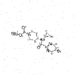 CC(C)(C)OC(=O)N1CCC(N(C(=O)c2ncc(Br)cn2)C2CC2)CC1